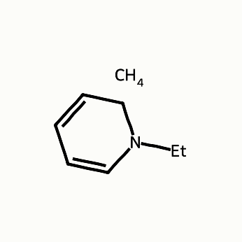 C.CCN1C=CC=CC1